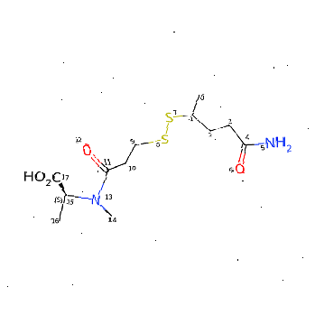 CC(CCC(N)=O)SSCCC(=O)N(C)[C@@H](C)C(=O)O